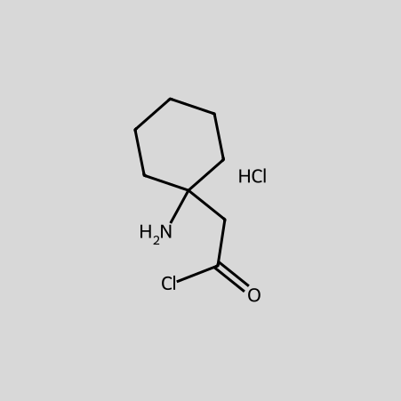 Cl.NC1(CC(=O)Cl)CCCCC1